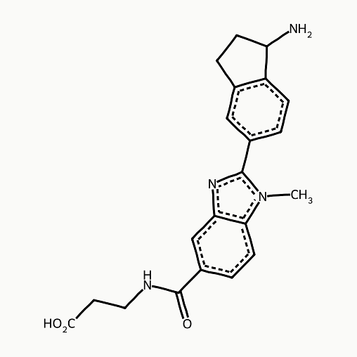 Cn1c(-c2ccc3c(c2)CCC3N)nc2cc(C(=O)NCCC(=O)O)ccc21